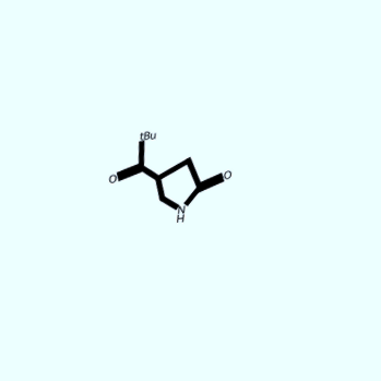 CC(C)(C)C(=O)C1CNC(=O)C1